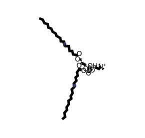 CCCCCCCCCCC/C=C/CCCCC(=O)OC[C@H](COP(=O)(O)OCC[N+](C)(C)C)OC(=O)CCCC/C=C/CCCCCCCCCCC